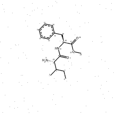 CCC(C)[C@H](N)C(=O)N[C@@H](Cc1ccccc1)C(=O)OC